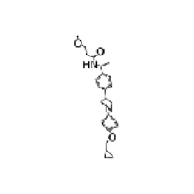 COCCC(=O)N[C@@H](C)c1ccc(C2CN(c3ccc(OCC4CC4)cc3)C2)cc1